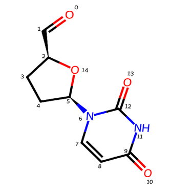 O=C[C@@H]1CC[C@H](n2ccc(=O)[nH]c2=O)O1